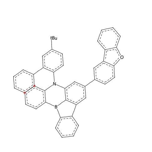 CC(C)(C)c1ccc(N2c3ccccc3B3c4ccccc4-c4cc(-c5ccc6oc7ccccc7c6c5)cc2c43)c(-c2ccccc2)c1